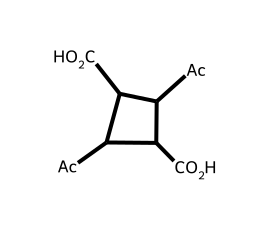 CC(=O)C1C(C(=O)O)C(C(C)=O)C1C(=O)O